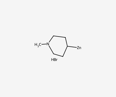 Br.CN1CC[CH]([Zn])CC1